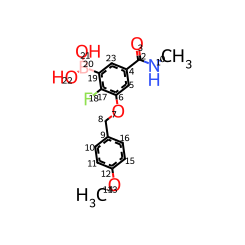 CNC(=O)c1cc(OCc2ccc(OC)cc2)c(F)c(B(O)O)c1